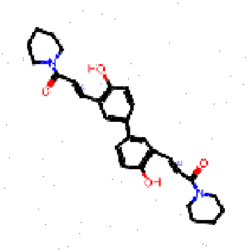 O=C(/C=C/c1cc(-c2ccc(O)c(/C=C/C(=O)N3CCCCC3)c2)ccc1O)N1CCCCC1